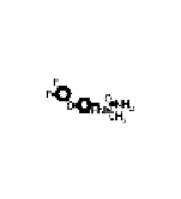 CN(NCc1ccc(Oc2ccc(F)c(F)c2)cc1)C(N)=O